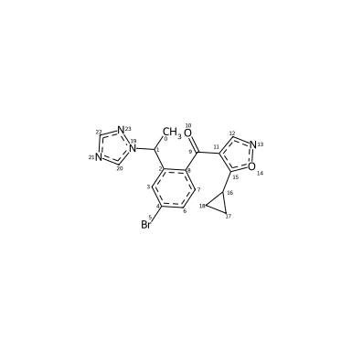 CC(c1cc(Br)ccc1C(=O)c1cnoc1C1CC1)n1cncn1